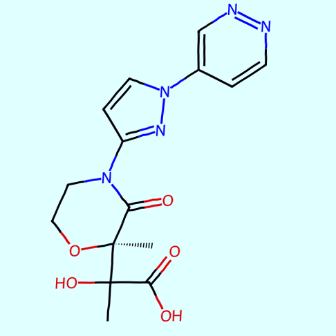 CC(O)(C(=O)O)[C@@]1(C)OCCN(c2ccn(-c3ccnnc3)n2)C1=O